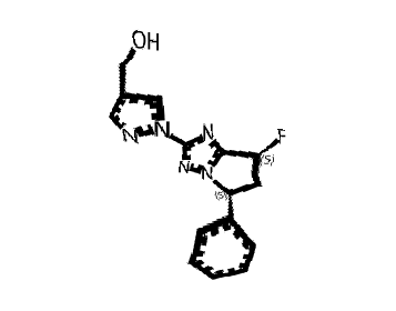 OCc1cnn(-c2nc3n(n2)[C@H](c2ccccc2)C[C@@H]3F)c1